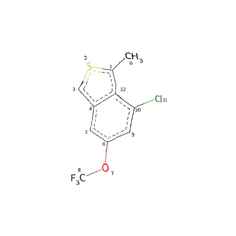 Cc1scc2cc(OC(F)(F)F)cc(Cl)c12